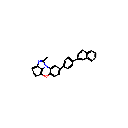 CCc1nc2cccc3c2n1-c1cc(-c2ccc(-c4ccc5ccccc5c4)cc2)ccc1O3